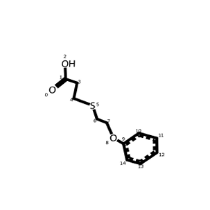 O=C(O)CCSCCOc1ccccc1